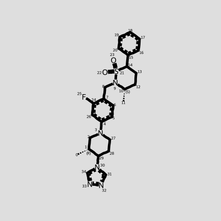 C[C@@H]1CN(c2ccc(CN3[C@@H](C)CCC(c4ccccc4)S3(=O)=O)c(F)c2)CCC1n1cnnc1